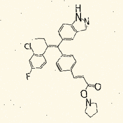 CC/C(=C(/c1ccc(/C=C/C(=O)ON2CCCC2)cc1)c1ccc2[nH]ncc2c1)c1ccc(F)cc1Cl